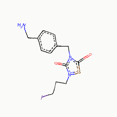 NCc1ccc(Cn2c(=O)sn(CCCI)c2=O)cc1